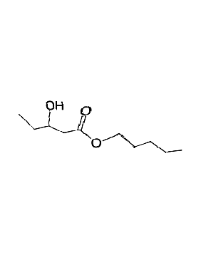 CCCCCOC(=O)CC(O)CC